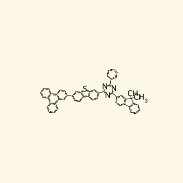 CC1(C)c2ccccc2-c2ccc(-c3nc(-c4ccccc4)nc(-c4ccc5c(c4)sc4cc(-c6ccc7c8ccccc8c8ccccc8c7c6)ccc45)n3)cc21